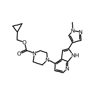 Cn1cc(-c2cc3c(N4CCN(C(=O)OCC5CC5)CC4)ccnc3[nH]2)cn1